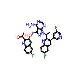 CC(=O)c1nc2ccc(F)cc2cc1O.CC(c1nc2ccc(F)cc2cc1-c1cncc(F)c1)n1nc(I)c2c(N)ncnc21